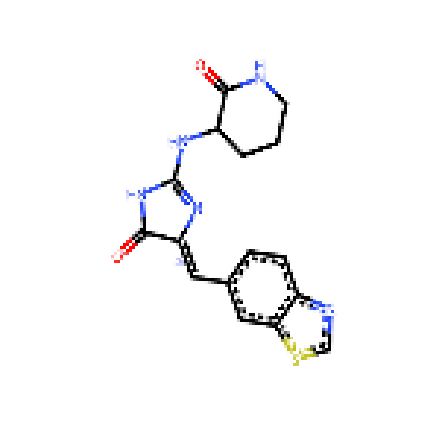 O=C1NC(NC2CCCNC2=O)=N/C1=C\c1ccc2ncsc2c1